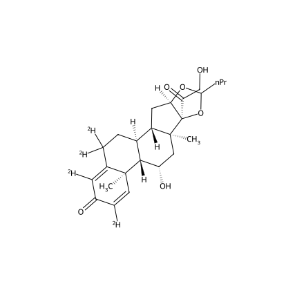 [2H]C1=C[C@@]2(C)C(=C([2H])C1=O)C([2H])([2H])C[C@@H]1[C@@H]2[C@@H](O)C[C@@]2(C)[C@H]1C[C@H]1OC(CCC)O[C@]12C(=O)CO